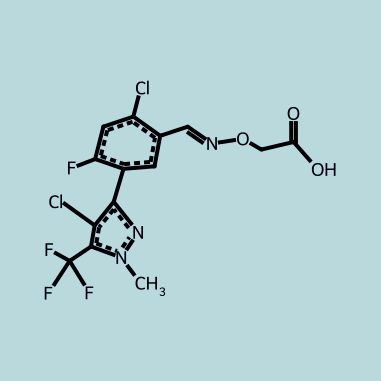 Cn1nc(-c2cc(C=NOCC(=O)O)c(Cl)cc2F)c(Cl)c1C(F)(F)F